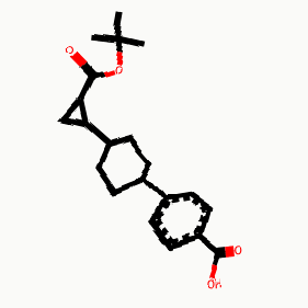 CC(C)(C)OC(=O)C1CC1C1CCC(c2ccc(C(=O)O)cc2)CC1